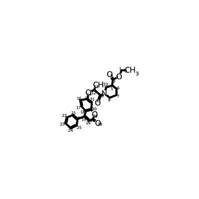 CCOC(=O)C1CCCN(C(=O)C(C)Oc2ccc3c(-c4ccccc4)cc(=O)oc3c2)C1